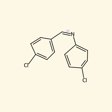 Clc1ccc(/C=N\c2ccc(Cl)cc2)cc1